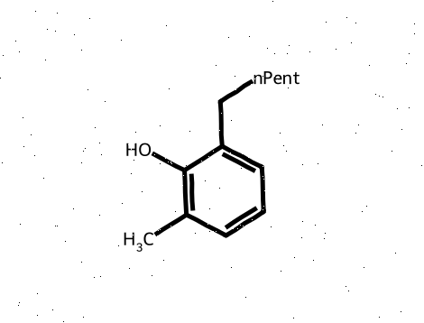 CCCCCCc1cccc(C)c1O